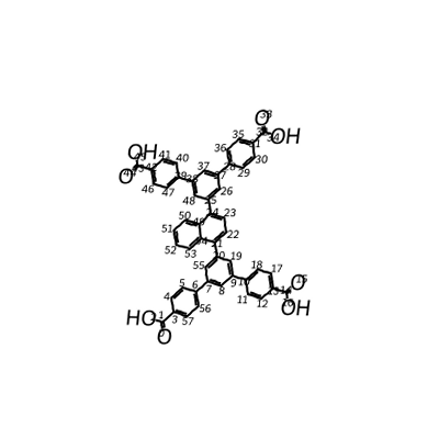 O=C(O)c1ccc(-c2cc(-c3ccc(C(=O)O)cc3)cc(-c3ccc(-c4cc(-c5ccc(C(=O)O)cc5)cc(-c5ccc(C(=O)O)cc5)c4)c4ccccc34)c2)cc1